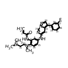 C=CC(=O)Nc1cc(Nc2cc3c(-c4cccc(F)c4)cnn3cn2)ccc1N(C)CCN(C)C